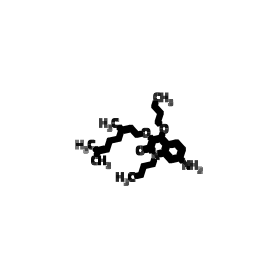 CCCCOc1c(OCC=C(C)CCC=C(C)C)c(=O)n(CCCC)c2cc(N)ccc12